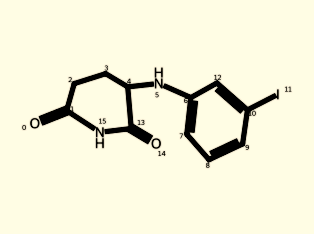 O=C1CCC(Nc2cccc(I)c2)C(=O)N1